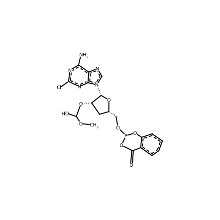 COC(O)O[C@H]1C[C@@H](COP2OC(=O)c3ccccc3O2)O[C@H]1n1cnc2c(N)nc(Cl)nc21